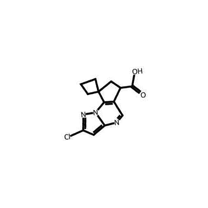 O=C(O)C1CC2(CCC2)c2c1cnc1cc(Cl)nn21